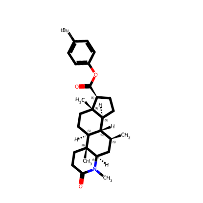 C[C@H]1C[C@H]2N(C)C(=O)CC[C@]2(C)[C@H]2CC[C@]3(C)[C@@H](C(=O)Oc4ccc(C(C)(C)C)cc4)CC[C@H]3[C@H]12